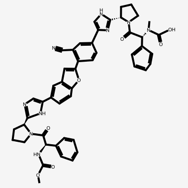 COC(=O)N[C@@H](C(=O)N1CCC[C@H]1c1ncc(-c2ccc3oc(-c4ccc(-c5c[nH]c([C@@H]6CCCN6C(=O)[C@@H](c6ccccc6)N(C)C(=O)O)n5)cc4C#N)cc3c2)[nH]1)c1ccccc1